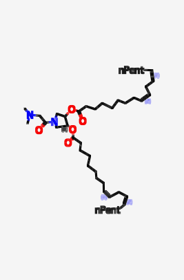 CCCCC/C=C\C/C=C\CCCCCCCC(=O)OC1CN(C(=O)CN(C)C)C[C@H]1OC(=O)CCCCCCC/C=C\C/C=C\CCCCC